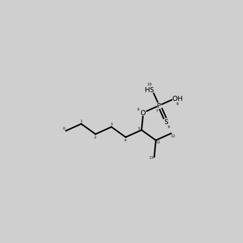 CCCCCC(OP(O)(=S)S)C(C)C